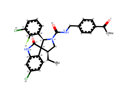 COC(=O)c1ccc(CNC(=O)N2C[C@@H](CC(C)(C)C)C3(C(=O)Nc4cc(Cl)ccc43)[C@H]2c2cccc(Cl)c2F)cc1